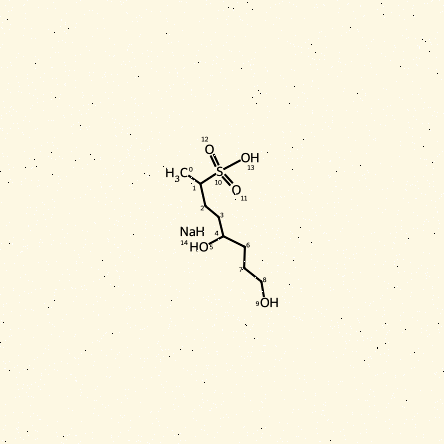 CC(CCC(O)CCCO)S(=O)(=O)O.[NaH]